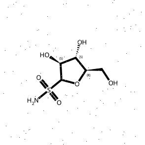 NS(=O)(=O)C1O[C@H](CO)[C@@H](O)[C@@H]1O